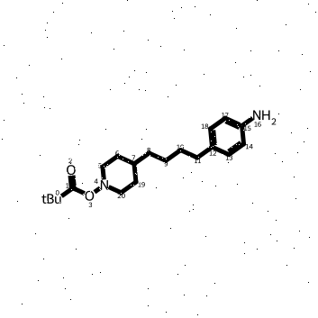 CC(C)(C)C(=O)ON1CCC(CCCCc2ccc(N)cc2)CC1